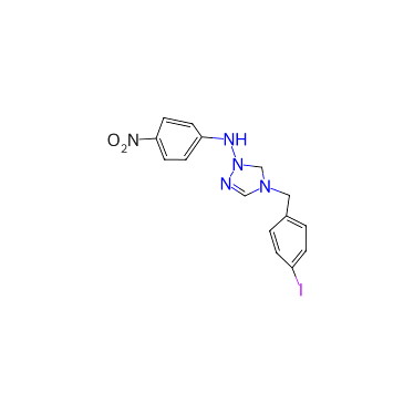 O=[N+]([O-])c1ccc(NN2CN(Cc3ccc(I)cc3)C=N2)cc1